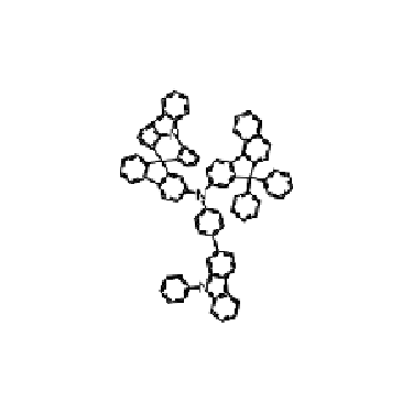 c1ccc(-n2c3ccccc3c3ccc(-c4ccc(N(c5ccc6c(c5)C(c5ccccc5)(c5ccccc5)c5ccc7ccccc7c5-6)c5ccc6c(c5)C5(c7ccccc7-6)c6ccccc6-n6c7ccccc7c7cccc5c76)cc4)cc32)cc1